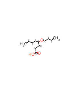 CCCCOC(CCCC)CCC(=O)O